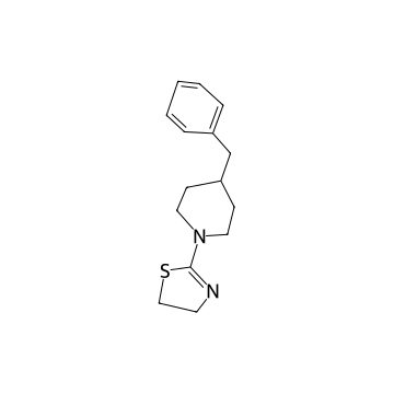 c1ccc(CC2CCN(C3=NCCS3)CC2)cc1